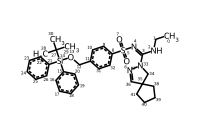 CCN/C(=N/S(=O)(=O)c1ccc(CO[Si](c2ccccc2)(c2ccccc2)C(C)(C)C)cc1)N1CC2(C=N1)CCCC2